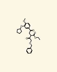 CCOC(=O)C(CC(=O)c1ccc(OC)c(OC2CCCC2)c1)C(=O)COCc1ccccc1